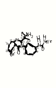 CCNC(=O)Nc1cccc(-n2c(C(C)N)nc3cccc(Br)c3c2=O)c1